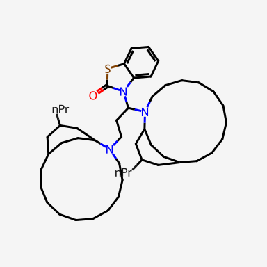 CCCC1CC2CCCCCCCCCCN(CCC(N3CCCCCCCCCCC4CCC3CC(CCC)C4)n3c(=O)sc4ccccc43)C(CC2)C1